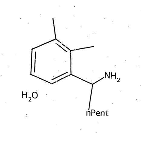 CCCCCC(N)c1cccc(C)c1C.O